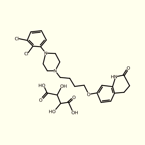 O=C(O)C(O)C(O)C(=O)O.O=C1CCc2ccc(OCCCCN3CCN(c4cccc(Cl)c4Cl)CC3)cc2N1